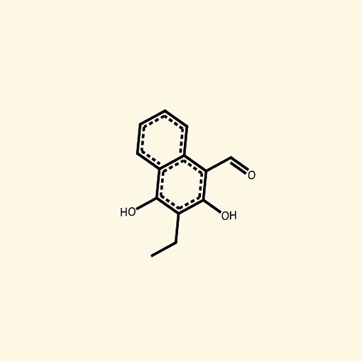 CCc1c(O)c(C=O)c2ccccc2c1O